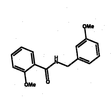 COc1cccc(CNC(=O)c2ccccc2OC)c1